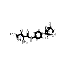 CC(=N)/C(Cl)=C(\N)C(=O)Nc1ccc([C@H]2O[C@@H]3CN[C@H]2C3)cc1